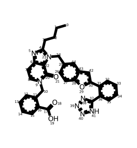 CCCCc1nc2ccn(Cc3ccccc3C(=O)O)c(=O)c2n1Cc1ccc2oc(-c3ccccc3-c3nnn[nH]3)cc2c1